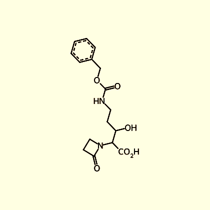 O=C(NCCC(O)C(C(=O)O)N1CCC1=O)OCc1ccccc1